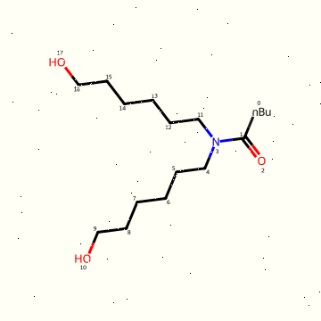 CCCCC(=O)N(CCCCCCO)CCCCCCO